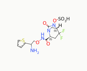 NC(CONC(=O)[C@@H]1CC(F)(F)[C@@H]2CN1C(=O)N2OS(=O)(=O)O)c1cccs1